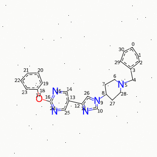 c1ccc(CN2CCC(n3cnc(-c4cnc(Oc5ccccc5)nc4)c3)CC2)cc1